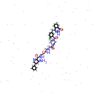 Nc1cc(-c2ccccc2)cnc1C(=O)NCCOCCNCC(=O)N1CCN(C(=O)c2cc(Cc3n[nH]c(=O)c4ccccc34)ccc2F)CC1